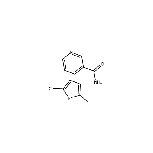 Cc1ccc(Cl)[nH]1.NC(=O)c1cccnc1